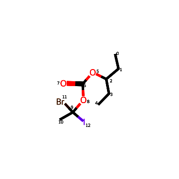 CCC(CC)OC(=O)OC(C)(Br)I